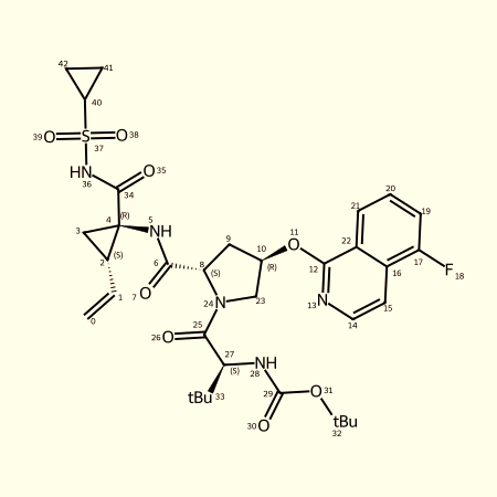 C=C[C@@H]1C[C@]1(NC(=O)[C@@H]1C[C@@H](Oc2nccc3c(F)cccc23)CN1C(=O)[C@@H](NC(=O)OC(C)(C)C)C(C)(C)C)C(=O)NS(=O)(=O)C1CC1